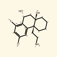 Cl.NCC[C@]12CCCC[C@@]1(O)CCc1c(F)cc(Cl)cc12